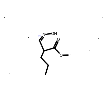 CCCC(/C=N\O)C(=O)OC